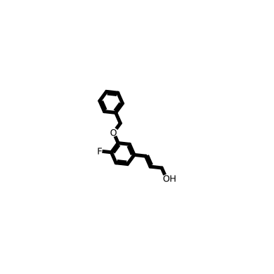 OCC=Cc1ccc(F)c(OCc2ccccc2)c1